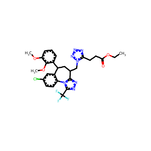 CCOC(=O)CCc1nnnn1CC1CC(c2cccc(OC)c2OC)c2cc(Cl)ccc2-n2c1nnc2C(F)(F)F